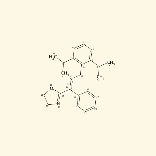 CC(C)c1cccc(C(C)C)c1C/N=C(/C1=NCCO1)c1ccccc1